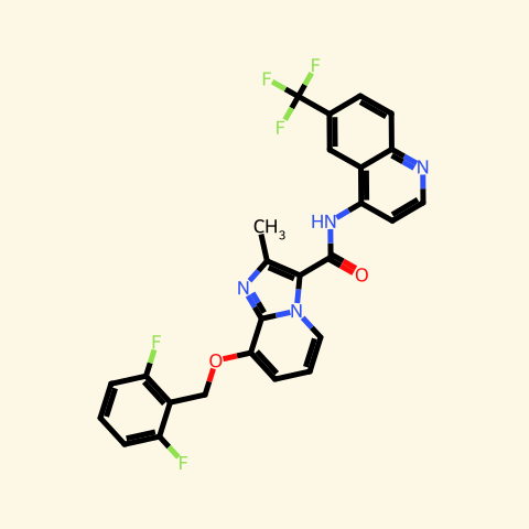 Cc1nc2c(OCc3c(F)cccc3F)cccn2c1C(=O)Nc1ccnc2ccc(C(F)(F)F)cc12